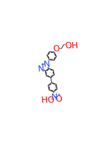 O=[N+](O)c1ccc(-c2ccc3c(c2)ncn3-c2ccc(OCCO)cc2)cc1